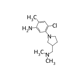 Cc1cc(Cl)c(N2CCC(CN(C)C)C2)cc1N